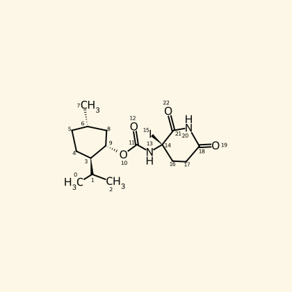 CC(C)[C@H]1CC[C@H](C)C[C@@H]1OC(=O)N[C@@]1(I)CCC(=O)NC1=O